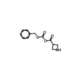 O=C(OCc1ccccc1)OC(=O)C1CNC1